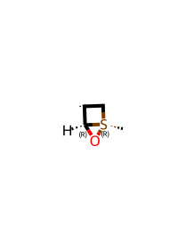 C[S@@]12C[CH][C@@H]1O2